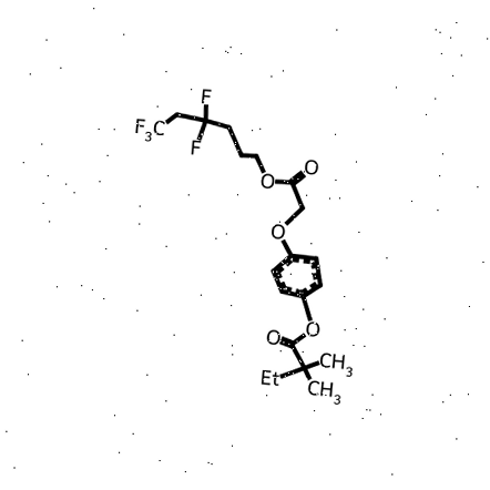 CCC(C)(C)C(=O)Oc1ccc(OCC(=O)OCCCC(F)(F)CC(F)(F)F)cc1